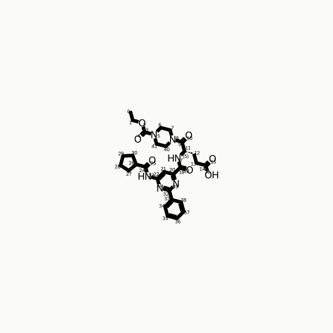 CCOC(=O)N1CCN(C(=O)[C@H](CCC(=O)O)NC(=O)c2cc(NC(=O)C3CCCC3)nc(-c3ccccc3)n2)CC1